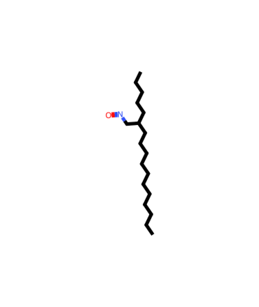 CCCCCCCCCCCC(CCCCC)CN=O